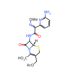 CON=C(C(=O)NC1C(=O)N2C(C(=O)O)=C(COC(C)=O)CS[C@@H]12)c1cccc(N)n1